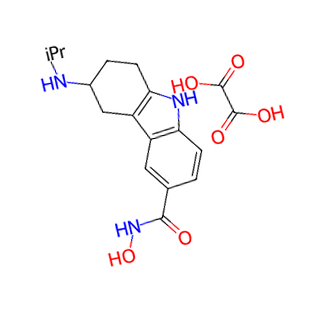 CC(C)NC1CCc2[nH]c3ccc(C(=O)NO)cc3c2C1.O=C(O)C(=O)O